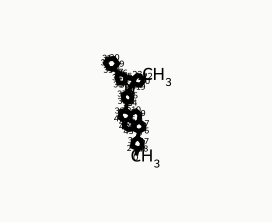 Cc1ccc(-c2ccc3ccc4c(-c5ccc(-n6c7ccc(C)cc7c7cc(-c8ccccc8)ccc76)cc5)ccc5ccc2c3c54)cc1